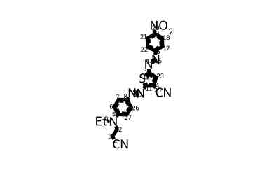 CCN(CCC#N)c1ccc(N=Nc2sc(N=Nc3ccc([N+](=O)[O-])cc3)cc2C#N)cc1